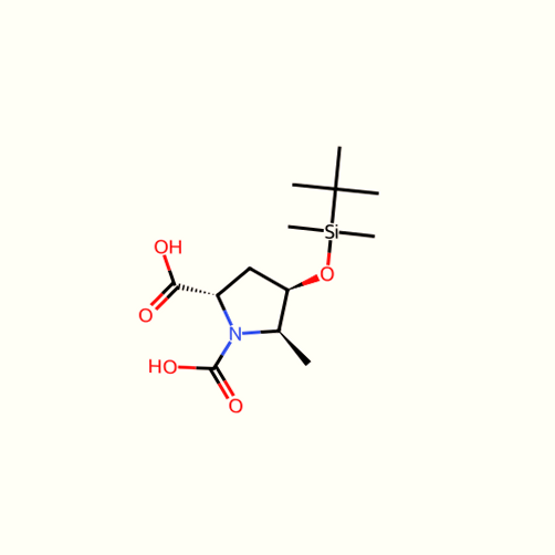 C[C@@H]1[C@H](O[Si](C)(C)C(C)(C)C)C[C@@H](C(=O)O)N1C(=O)O